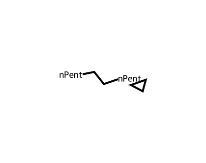 [CH2]CCCCCCCCCCC.[CH]1CC1